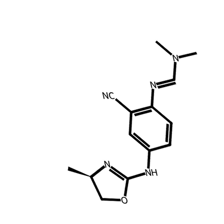 C[C@@H]1COC(Nc2ccc(/N=C/N(C)C)c(C#N)c2)=N1